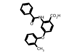 Cc1ccccc1Oc1ccc(C(=O)O)c(NC(=O)c2ccccc2)c1